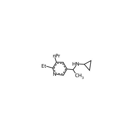 [CH2]CCc1cc(C(C)NC2CC2)cnc1CC